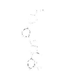 CCc1cccc(N2CC(C(C)(C)c3cc(N4CCC(O)CC4)ccn3)CC2=O)n1